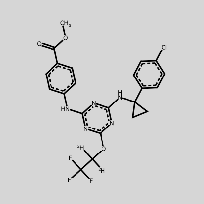 [2H]C([2H])(Oc1nc(Nc2ccc(C(=O)OC)cc2)nc(NC2(c3ccc(Cl)cc3)CC2)n1)C(F)(F)F